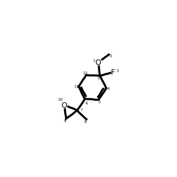 COC1(F)C=CC(C2(C)CO2)=CC1